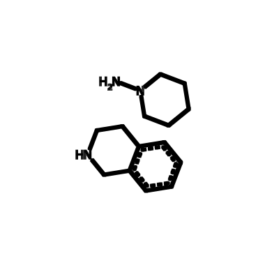 NN1CCCCC1.c1ccc2c(c1)CCNC2